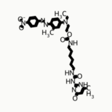 CCN(CCOC(=O)NCCCCCCNC(=O)Nc1nc(=O)cc(C)[nH]1)c1ccc(/N=N/c2ccc([N+](=O)[O-])cc2)c(C)c1